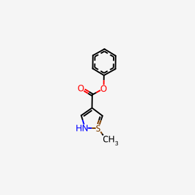 CS1=CC(C(=O)Oc2ccccc2)=CN1